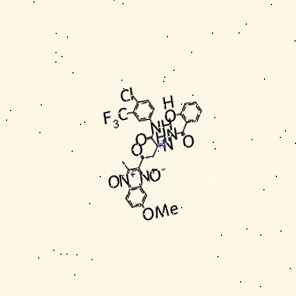 COc1ccc2c(c1)[n+]([O-])c(C(=O)C/C(=N/NC(=O)c1ccccc1O)C(=O)Nc1ccc(Cl)c(C(F)(F)F)c1)c(C)[n+]2[O-]